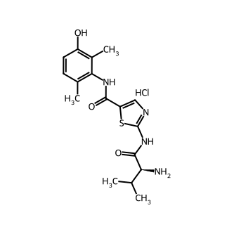 Cc1ccc(O)c(C)c1NC(=O)c1cnc(NC(=O)[C@@H](N)C(C)C)s1.Cl